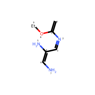 C=C(/N=C\C(N)=C/N)OCC